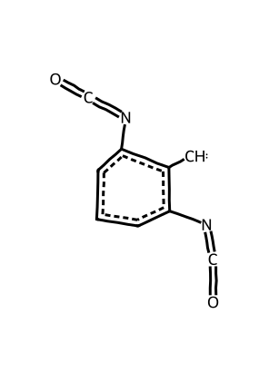 [CH]c1c(N=C=O)cccc1N=C=O